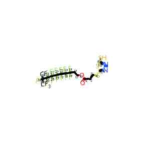 O=C(CCSc1nnc(S)s1)OCCC(F)(F)C(F)(F)C(F)(F)C(F)(F)C(F)(F)C(F)(F)C(F)(C(F)(F)F)C(F)(F)F